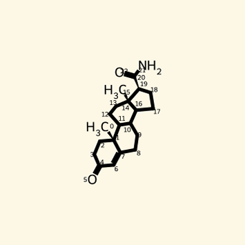 C[C@]12CCC(=O)C=C1CCC1C2CC[C@@]2(C)C1CC[C@@H]2C(N)=O